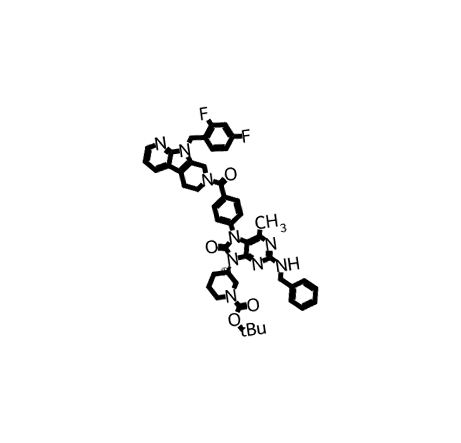 Cc1nc(NCc2ccccc2)nc2c1n(-c1ccc(C(=O)N3CCc4c(n(Cc5ccc(F)cc5F)c5ncccc45)C3)cc1)c(=O)n2[C@@H]1CCCN(C(=O)OC(C)(C)C)C1